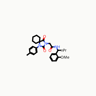 CCCC(NC(=O)CN1C(=O)N(c2ccc(C)cc2)C2(CCCCC2)C1=O)c1ccccc1OC